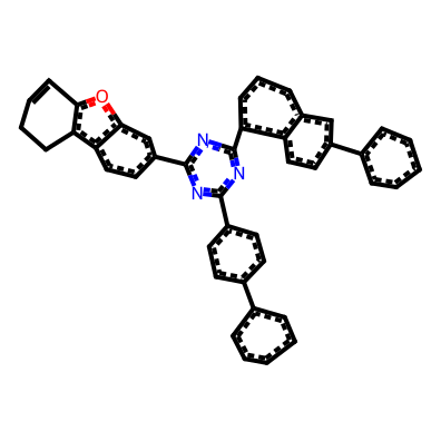 C1=Cc2oc3cc(-c4nc(-c5ccc(-c6ccccc6)cc5)nc(-c5cccc6cc(-c7ccccc7)ccc56)n4)ccc3c2CC1